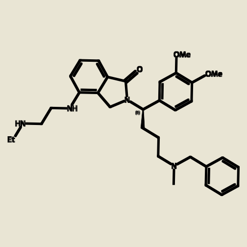 CCNCCNc1cccc2c1CN([C@H](CCCN(C)Cc1ccccc1)c1ccc(OC)c(OC)c1)C2=O